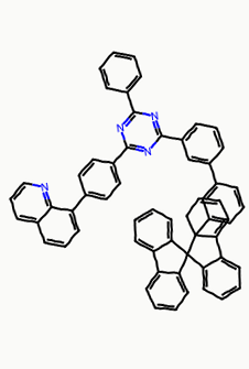 C1=CCC2(c3cccc(-c4cccc(-c5nc(-c6ccccc6)nc(-c6ccc(-c7cccc8cccnc78)cc6)n5)c4)c3)C(=C1)c1ccccc1C21c2ccccc2-c2ccccc21